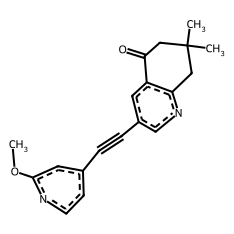 COc1cc(C#Cc2cnc3c(c2)C(=O)CC(C)(C)C3)ccn1